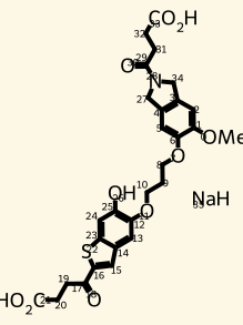 COc1cc2c(cc1OCCCOc1cc3cc(C(=O)CCC(=O)O)sc3cc1O)CN(C(=O)CCC(=O)O)C2.[NaH]